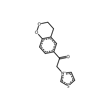 O=C(C[n+]1ccsc1)c1ccc2c(c1)CCOO2